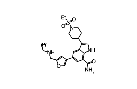 CCS(=O)(=O)N1CCC(c2c[nH]c3c(C(N)=O)cc(-c4coc(CNCC(C)C)c4)cc23)CC1